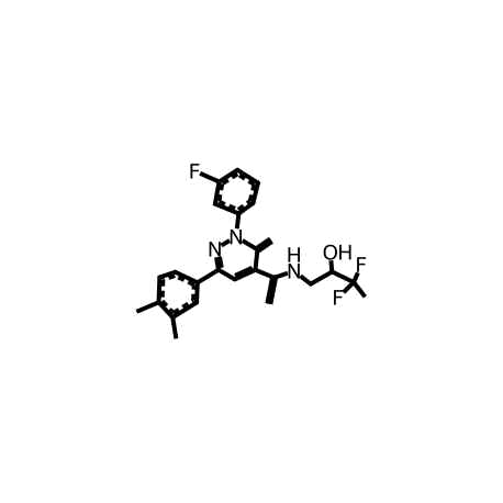 C=C(NCC(O)C(C)(F)F)C1=CC(c2ccc(C)c(C)c2)=NN(c2cccc(F)c2)C1=C